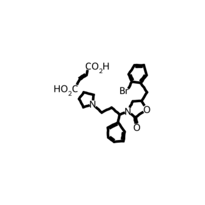 O=C(O)C=CC(=O)O.O=C1OC(Cc2ccccc2Br)CN1C(CCN1CCCC1)c1ccccc1